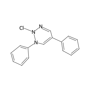 ClN1N=CC(c2ccccc2)=CN1c1ccccc1